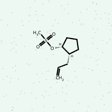 C=CC[C@H]1CCC[C@H]1OS(C)(=O)=O